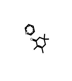 CC1=C(C)C(=O)CC(C)(C)C1.c1ccncc1